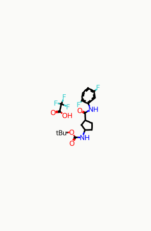 CC(C)(C)OC(=O)NC1CCC(C(=O)Nc2cc(F)ccc2F)C1.O=C(O)C(F)(F)F